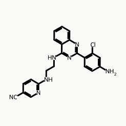 N#Cc1ccc(NCCNc2nc(-c3ccc(N)cc3Cl)nc3ccccc23)nc1